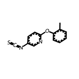 Cc1ccccc1Oc1ccc(N=C=S)cn1